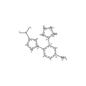 CC(C)c1cnn(-c2ccc(N)cc2-c2nnn[nH]2)c1